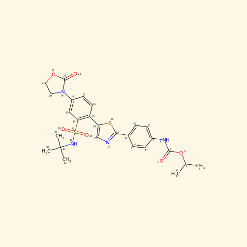 CC(C)OC(=O)Nc1ccc(-c2ncc(-c3ccc(N4CCOC4=O)cc3S(=O)(=O)NC(C)(C)C)s2)cc1